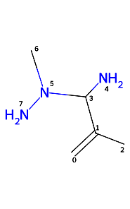 C=C(C)C(N)N(C)N